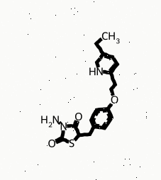 CCC1=CC=C(CCOc2ccc(CC3SC(=O)N(N)C3=O)cc2)NC1